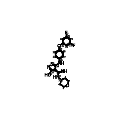 N=C(NN1CCOCC1)c1c(O)nsc1Nc1ccc(Oc2cc(F)cc(F)c2)cc1